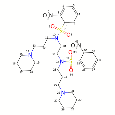 O=[N+]([O-])c1ccccc1S(=O)(=O)N(CCCN1CCCCC1)CCN(CCCN1CCCCC1)S(=O)(=O)c1ccccc1[N+](=O)[O-]